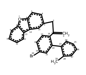 C=C(Cc1ccc2oc3ccccc3c2c1)c1ccc(Br)cc1-c1ccccc1C